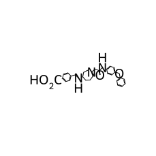 O=C(CN1CCCC(NCc2ccc(C(=O)O)cc2)CC1)Nc1ccc(Oc2ccccc2)cc1